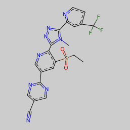 CCS(=O)(=O)c1cc(-c2ncc(C#N)cn2)cnc1-c1nnc(-c2cc(C(F)(F)F)ccn2)n1C